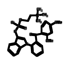 COc1ccc(C(=O)c2ccccc2-n2cc(OP(=O)([O-])OCC[N+](C)(C)C)c3ccccc32)c(OC)c1